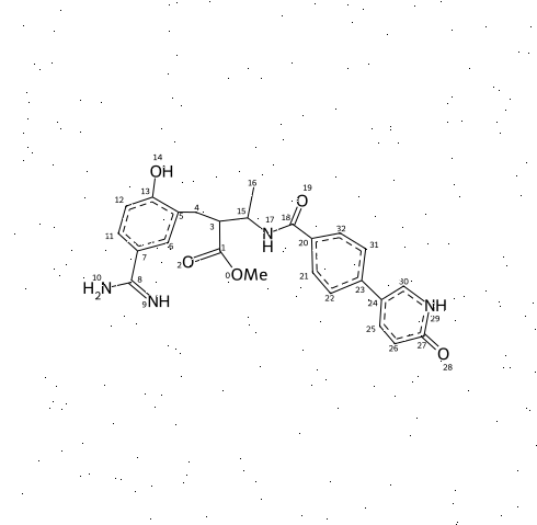 COC(=O)C(Cc1cc(C(=N)N)ccc1O)C(C)NC(=O)c1ccc(-c2ccc(=O)[nH]c2)cc1